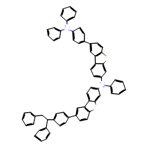 c1ccc(CC(c2ccccc2)c2ccc(-c3ccc4sc5cc(N(c6ccccc6)c6ccc7c(c6)sc6ccc(-c8ccc(N(c9ccccc9)c9ccccc9)cc8)cc67)ccc5c4c3)cc2)cc1